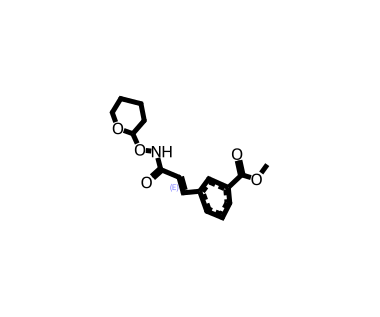 COC(=O)c1cccc(/C=C/C(=O)NOC2CCCCO2)c1